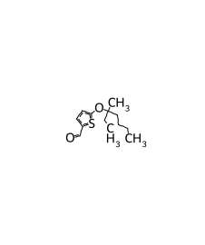 CCCCC(C)(CC)Oc1ccc(C=O)s1